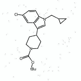 CC(C)(C)OC(=O)N1CCC(c2cn(CC3CC3)c3ccc(Cl)cc23)CC1